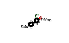 CCCCCCCCCOc1ccc(-c2ccc(CCCC)cc2)cc1Cl